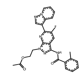 CC(=O)OCCn1nc(NC(=O)c2ccccc2C)c2cc(F)c(-c3cnn4ccccc34)nc21